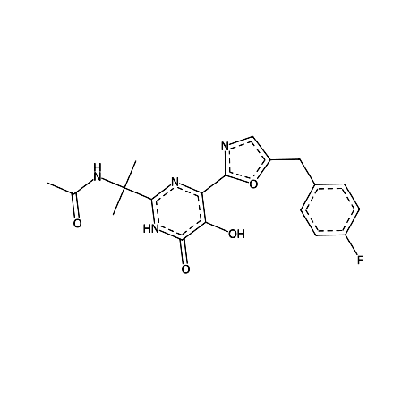 CC(=O)NC(C)(C)c1nc(-c2ncc(Cc3ccc(F)cc3)o2)c(O)c(=O)[nH]1